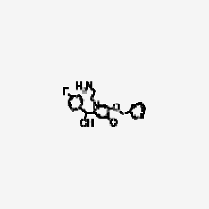 NCCn1cc(OCc2ccccc2)c(=O)cc1C(O)c1ccc(F)cc1